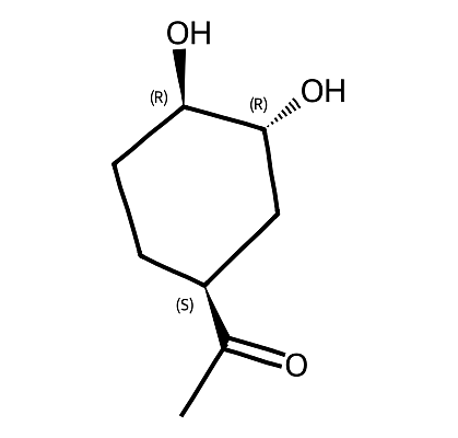 CC(=O)[C@H]1CC[C@@H](O)[C@H](O)C1